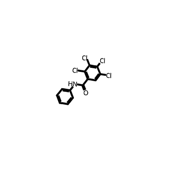 O=C(Nc1ccccc1)c1cc(Cl)c(Cl)c(Cl)c1Cl